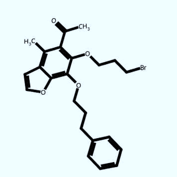 CC(=O)c1c(OCCCBr)c(OCCCc2ccccc2)c2occc2c1C